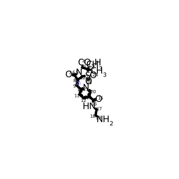 CC1(C)[C@H](C(=O)O)N2C(=O)/C(=C/c3ccc(C(=O)NCCN)cn3)C2S1(=O)=O